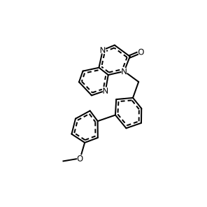 COc1cccc(-c2cccc(Cn3c(=O)cnc4cccnc43)c2)c1